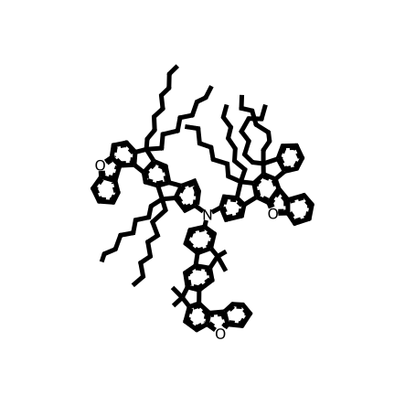 CCCCCCCCC1(CCCCCCCC)c2cc(N(c3ccc4c(c3)C(C)(C)c3cc5c(cc3-4)C(C)(C)c3ccc4oc6ccccc6c4c3-5)c3ccc4c(c3)C(CCCCCCC)(CCCCCCC)c3c5c(c6c(oc7ccccc76)c3-4)-c3ccccc3C5(CCCCCCC)CCCCCCC)ccc2-c2cc3c(cc21)-c1c(ccc2oc4ccccc4c12)C3(CCCCCCCC)CCCCCCCC